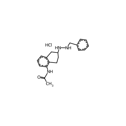 CC(=O)Nc1cccc2c1CCC(NNCc1ccccc1)C2.Cl